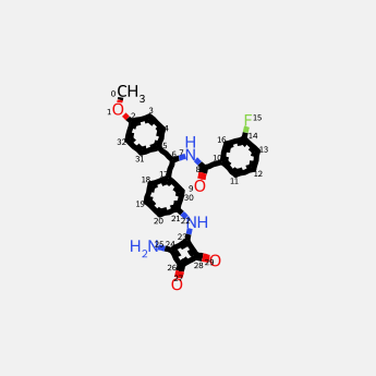 COc1ccc(C(NC(=O)c2cccc(F)c2)c2cccc(Nc3c(N)c(=O)c3=O)c2)cc1